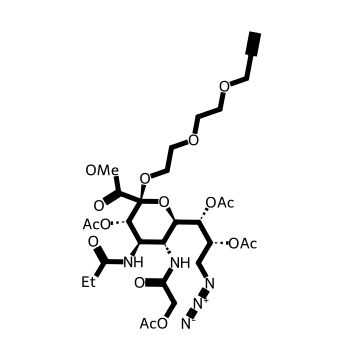 C#CCOCCOCCO[C@@]1(C(=O)OC)O[C@@H]([C@H](OC(C)=O)[C@@H](CN=[N+]=[N-])OC(C)=O)[C@H](NC(=O)COC(C)=O)[C@@H](NC(=O)CC)[C@@H]1OC(C)=O